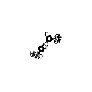 CC1(C)OB(c2cc(F)cc(OCc3ccc(C(=O)NS(C)(=O)=O)cc3F)c2)OC1(C)C